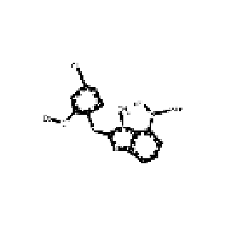 CCCN(CCC)c1cccc2nc(Nc3ccc(Cl)cc3OCC)n(C)c12